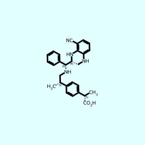 C[C@H](CN[C@H](c1ccccc1)[C@H]1CNc2cccc(C#N)c2N1)c1ccc([C@H](C)C(=O)O)cc1